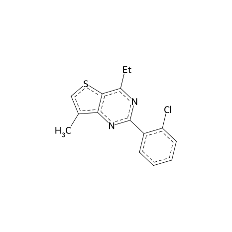 CCc1nc(-c2ccccc2Cl)nc2c(C)csc12